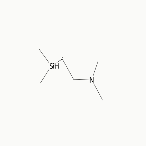 CN(C)C[CH][SiH](C)C